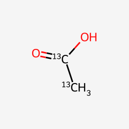 [13CH3][13C](=O)O